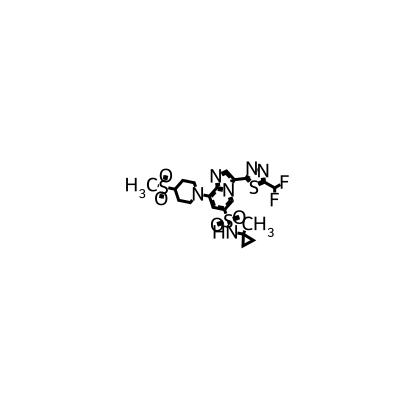 CC1(NS(=O)(=O)c2cc(N3CCC(S(C)(=O)=O)CC3)c3ncc(-c4nnc(C(F)F)s4)n3c2)CC1